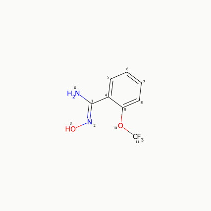 N/C(=N\O)c1ccccc1OC(F)(F)F